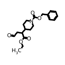 CCOC(=O)C(CC=O)C1CCN(C(=O)OCc2ccccc2)CC1